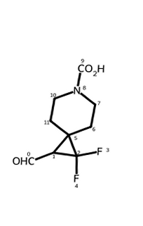 O=CC1C(F)(F)C12CCN(C(=O)O)CC2